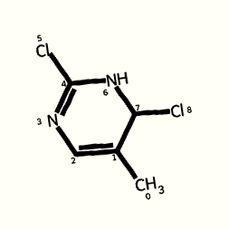 CC1=CN=C(Cl)NC1Cl